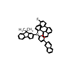 CC1(C)c2ccccc2-c2ccc(N(c3ccc(-c4ccc5ccccc5c4)cc3)c3ccccc3-c3cccc4cccc(-c5ccc(F)cc5)c34)cc21